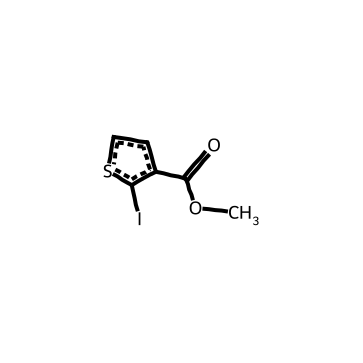 COC(=O)c1ccsc1I